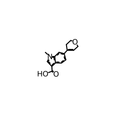 Cn1cc(C(=O)O)c2ccc(C3=CCOCC3)cc21